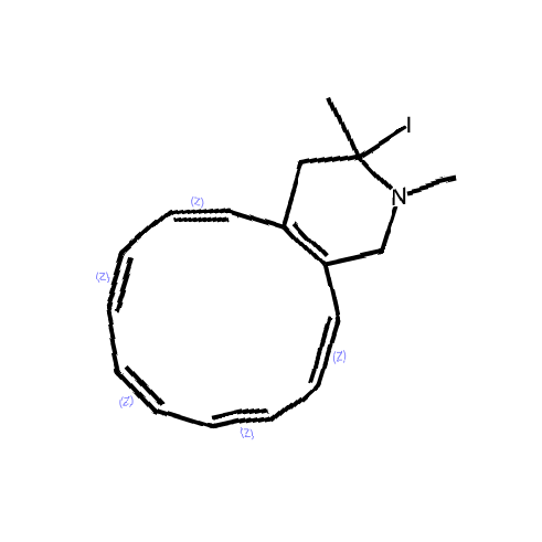 CN1CC2=C(\C=C/C=C\C=C/C=C\C=C/2)CC1(C)I